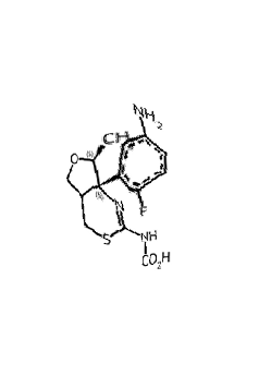 C[C@@H]1OCC2CSC(NC(=O)O)=N[C@]21c1cc(N)ccc1F